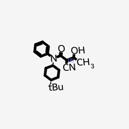 C/C(O)=C(\C#N)C(=O)N(c1ccccc1)[C@H]1CC[C@@H](C(C)(C)C)CC1